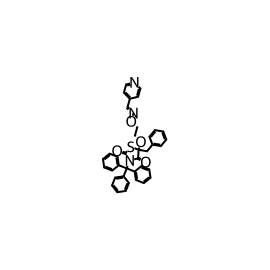 O=C1SC(Cc2ccccc2)(OCCON=Cc2ccncc2)C(=O)N1C(c1ccccc1)(c1ccccc1)c1ccccc1